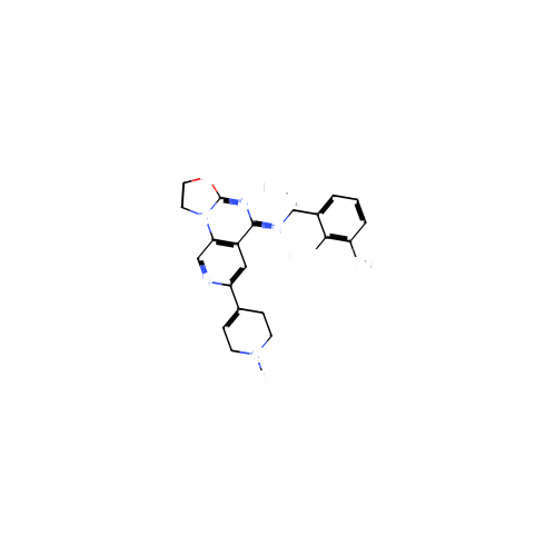 CC(=O)N1CC=C(c2cc3/c(=N/[C@H](C)c4cccc(C#N)c4C)nc4n(c3cn2)CCO4)CC1